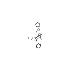 CC(C)(CC(O)COc1ccccc1)OCc1ccccc1